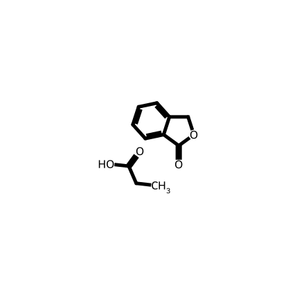 CCC(=O)O.O=C1OCc2ccccc21